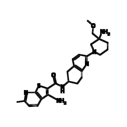 COCC1(N)CCCN(c2ccc3c(n2)CCC(NC(=O)c2sc4nc(C)ccc4c2N)C3)C1